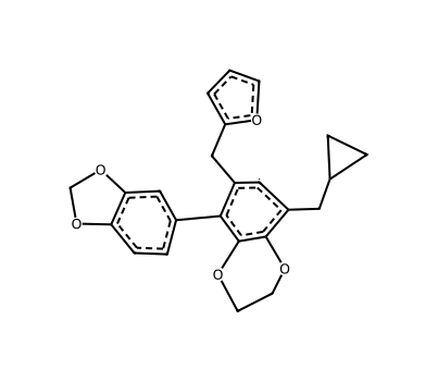 [c]1c(CC2CC2)c2c(c(-c3ccc4c(c3)OCO4)c1Cc1ccco1)OCCO2